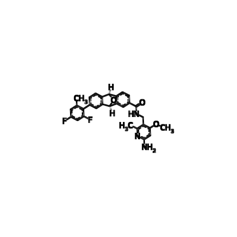 COc1cc(N)nc(C)c1CNC(=O)c1ccc2c(c1)[C@@H]1O[C@H]2c2ccc(-c3c(C)cc(F)cc3F)cc21